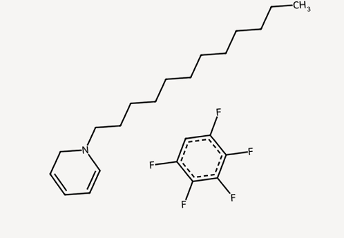 CCCCCCCCCCCCN1C=CC=CC1.Fc1cc(F)c(F)c(F)c1F